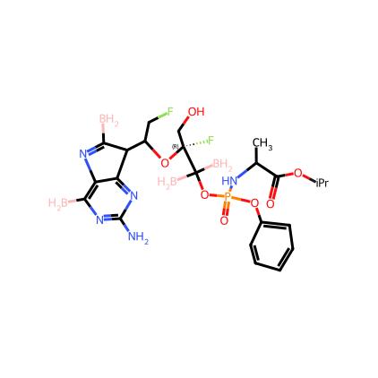 BC1=Nc2c(B)nc(N)nc2C1C(CF)O[C@@](F)(CO)C(B)(B)OP(=O)(NC(C)C(=O)OC(C)C)Oc1ccccc1